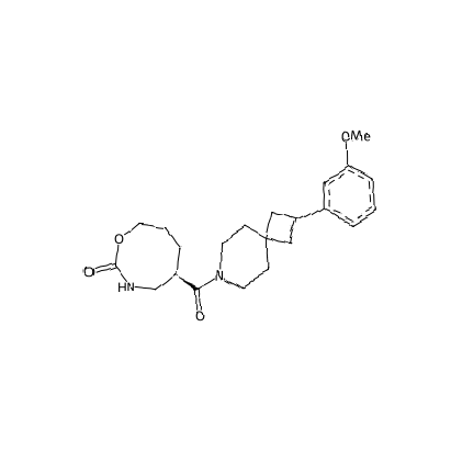 COc1cccc(C2CC3(CCN(C(=O)[C@@H]4CCCOC(=O)NC4)CC3)C2)c1